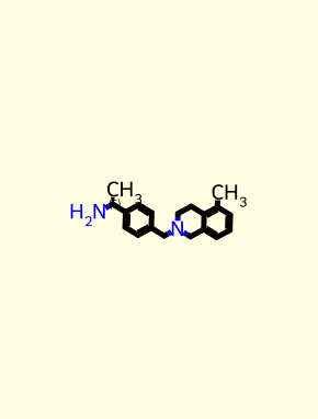 Cc1cccc2c1CCN(Cc1ccc([C@H](C)N)cc1)C2